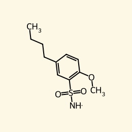 CCCCc1ccc(OC)c(S([NH])(=O)=O)c1